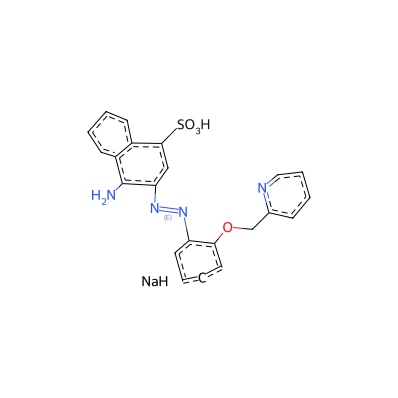 Nc1c(/N=N/c2ccccc2OCc2ccccn2)cc(S(=O)(=O)O)c2ccccc12.[NaH]